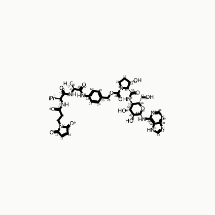 CC(C)[C@H](NC(=O)CCN1C(=O)C=CC1=O)C(=O)N[C@@H](C)C(=O)Nc1ccc(COC(=O)N2CC[C@H](O)[C@@H]2C(=O)N[C@@H]2[C@@H](O)[C@H](O)[C@@H](Nc3ncnc4nc[nH]c34)O[C@H]2CO)cc1